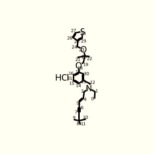 CCN(C/C=C/C#CC(C)(C)C)Cc1cccc(OCC(C)(C)OCc2ccsc2)c1.Cl